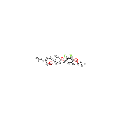 C=CCCC1CCC(C2CCC(OCc3ccc(OCCCC)c(F)c3F)CC2)OC1